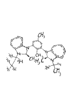 [2H]C([2H])(C)N1c2ccccc2N(c2cc(C)cc(N3c4ccccc4N(C([2H])([2H])C([2H])([2H])[2H])[C@@H]3C)c2C)[C@@H]1C